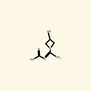 C/C(=N/C(=O)O)N1CC(O)C1